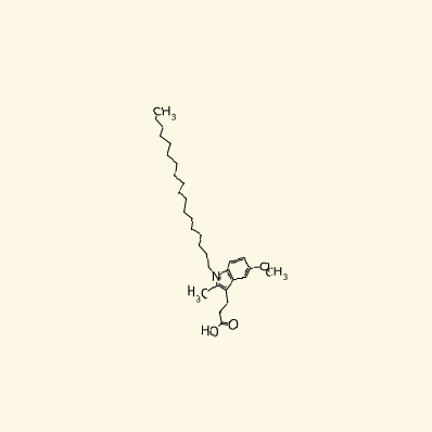 CCCCCCCCCCCCCCCCCCn1c(C)c(CCC(=O)O)c2cc(OC)ccc21